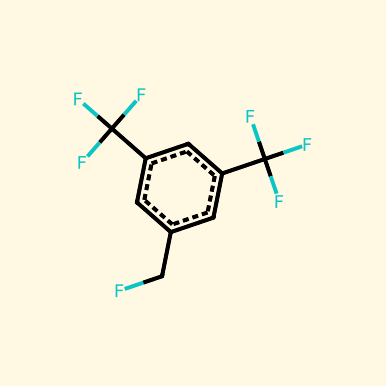 FCc1cc(C(F)(F)F)cc(C(F)(F)F)c1